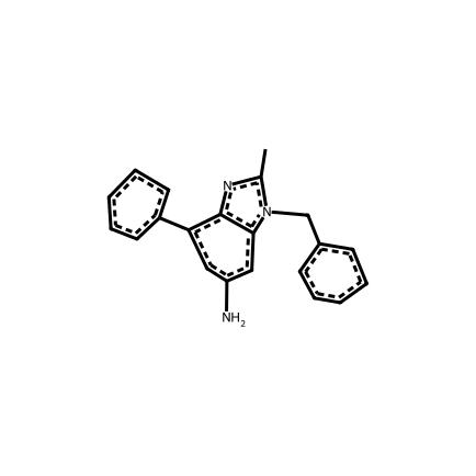 Cc1nc2c(-c3ccccc3)cc(N)cc2n1Cc1ccccc1